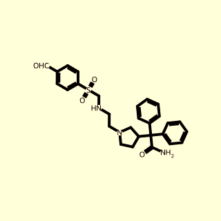 NC(=O)C(c1ccccc1)(c1ccccc1)C1CCN(CCNCS(=O)(=O)c2ccc(C=O)cc2)C1